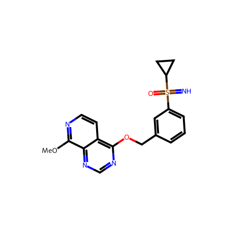 COc1nccc2c(OCc3cccc(S(=N)(=O)C4CC4)c3)ncnc12